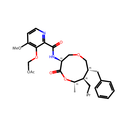 COc1ccnc(C(=O)N[C@H]2COC[C@H](Cc3ccccc3)[C@@H](CC(C)C)[C@H](C)OC2=O)c1OCOC(C)=O